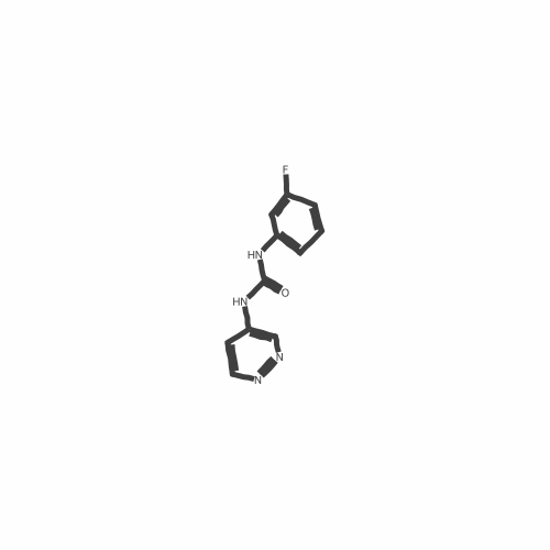 O=C(Nc1ccnnc1)Nc1cccc(F)c1